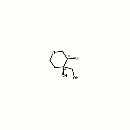 OC[C@]1(O)CCNC[C@H]1O